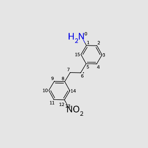 Nc1cccc([CH]Cc2cccc([N+](=O)[O-])c2)c1